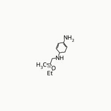 CCO[C@@H](C)CNC1C=CC(N)=CC1